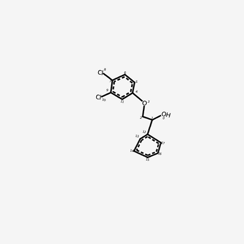 OC(COc1ccc(Cl)c(Cl)c1)c1ccccc1